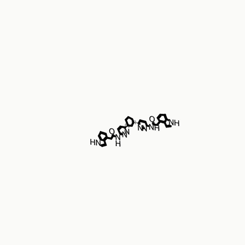 O=C(Cc1cccc2[nH]ccc12)Nc1ccc([C@H]2CCC[C@H](c3ccc(NC(=O)Cc4cccc5[nH]ccc45)nn3)C2)nn1